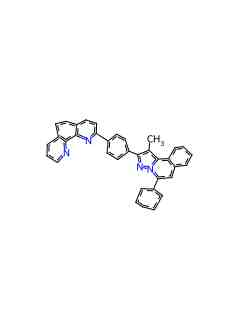 Cc1c(-c2ccc(-c3ccc4ccc5cccnc5c4n3)cc2)nn2c(-c3ccccc3)cc3ccccc3c12